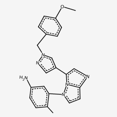 COc1ccc(Cn2cc(-c3cnc4ccn(-c5cc(N)ccc5C)n34)cn2)cc1